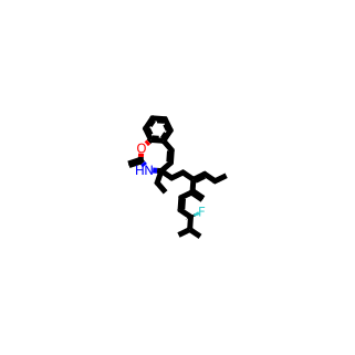 C=C1NC(CC)(CC/C(=C/CC)C(=C)/C=C\[C@@H](F)C(C)C)/C=C\c2ccccc2O1